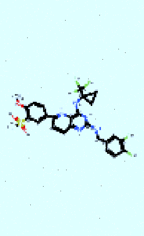 COc1ccc(-c2ccc3nc(NCc4ccc(F)c(F)c4)nc(NC4(C(F)(F)F)CC4)c3n2)cc1S(C)(=O)=O